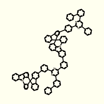 c1ccc(-c2cccc(-c3cc(-c4cccc(-c5ccc6c(c5)c5cccc7c5n6-c5ccccc5C75c6ccccc6-c6ccc(-c7ccc(-c8nc(-c9ccccc9)cc(-c9ccccc9-c9ccccc9)n8)cc7)cc65)c4)nc(-c4cccc(-c5ccc6c(c5)-c5ccccc5C65c6ccccc6-n6c7ccccc7c7cccc5c76)c4)n3)c2)cc1